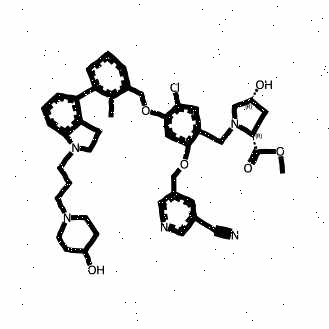 COC(=O)[C@H]1C[C@@H](O)CN1Cc1cc(Cl)c(OCc2cccc(-c3cccc4c3CCN4CCCN3CCC(O)CC3)c2C)cc1OCc1cncc(C#N)c1